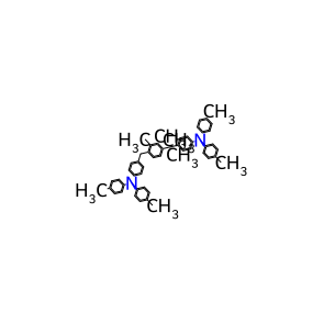 Cc1ccc(N(c2ccc(C)cc2)c2ccc(Cc3ccc(C(C)(C)c4ccc(N(c5ccc(C)cc5)c5ccc(C)cc5)cc4)c(C)c3C)cc2)cc1